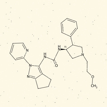 COCCN1CC(c2ccccc2)[C@H](NC(=O)Nc2c3c(nn2-c2ccccn2)CCC3)C1